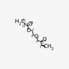 C=CC(=O)COCCOC(=O)C=C